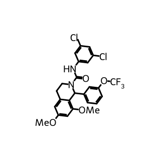 COc1cc2c(c(OC)c1)C(c1cccc(OC(F)(F)F)c1)N(C(=O)Nc1cc(Cl)cc(Cl)c1)CC2